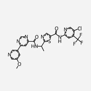 COc1cncc(-c2cc(C(=O)NC(C)c3ncc(C(=O)Nc4cc(C(F)(F)F)c(Cl)cn4)s3)ncn2)c1